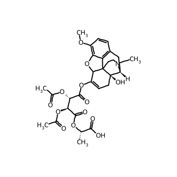 COc1ccc2c3c1OC1C(OC(=O)[C@@H](OC(C)=O)[C@H](OC(C)=O)C(=O)O[C@@H](C)C(=O)O)=CC[C@@]4(O)[C@@H](C2)N(C)CCC314